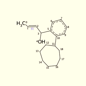 C/C=C/C(O)c1ccccc1C1CCCCCCC1